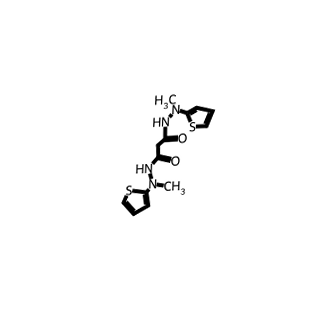 CN(NC(=O)CC(=O)NN(C)c1cccs1)c1cccs1